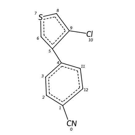 N#Cc1ccc(-c2cscc2Cl)cc1